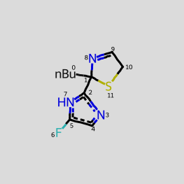 CCCCC1(c2ncc(F)[nH]2)N=CCS1